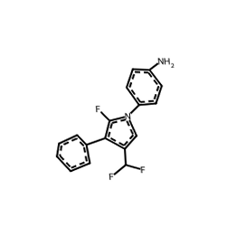 Nc1ccc(-n2cc(C(F)F)c(-c3ccccc3)c2F)cc1